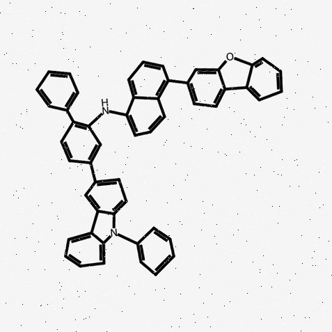 c1ccc(-c2ccc(-c3ccc4c(c3)c3ccccc3n4-c3ccccc3)cc2Nc2cccc3c(-c4ccc5c(c4)oc4ccccc45)cccc23)cc1